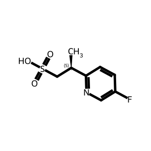 C[C@H](CS(=O)(=O)O)c1ccc(F)cn1